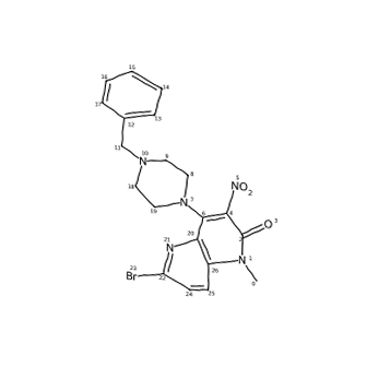 Cn1c(=O)c([N+](=O)[O-])c(N2CCN(Cc3ccccc3)CC2)c2nc(Br)ccc21